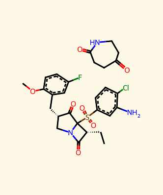 CC[C@@H]1C(=O)N2C[C@H](Cc3cc(F)ccc3OC)C(=O)C12S(=O)(=O)c1ccc(Cl)c(N)c1.O=C1CCNC(=O)CC1